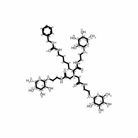 C[C@@H]1O[C@@H](OCCNC(=O)CN(CC(=O)NCCO[C@@H]2O[C@@H](C)[C@@H](O)[C@@H](O)[C@@H]2O)[C@@H](CCCCCNC(=O)OCc2ccccc2)C(=O)NCCO[C@@H]2O[C@@H](C)[C@@H](O)[C@@H](O)[C@@H]2O)[C@@H](O)[C@H](O)[C@@H]1O